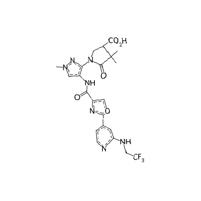 Cn1cc(NC(=O)c2coc(-c3ccnc(NCC(F)(F)F)c3)n2)c(N2CC(C(=O)O)C(C)(C)C2=O)n1